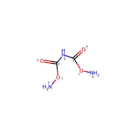 NOC(=O)NC(=O)ON